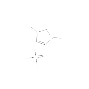 CCN1C=CN(C)C1.O=P(O)(F)F